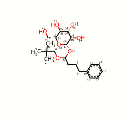 CC(C)(C)COC(CCCc1ccccc1)O[C@@H]1O[C@H](CO)[C@@H](O)[C@H](O)[C@H]1O